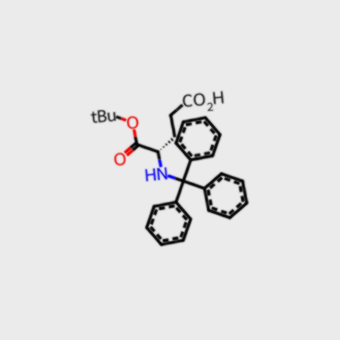 CC(C)(C)OC(=O)[C@H](CCC(=O)O)NC(c1ccccc1)(c1ccccc1)c1ccccc1